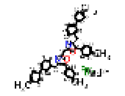 Cc1ccc(-c2cccc(C[C@H]3N=C(CC4=N[C@H](Cc5cccc(-c6ccc(C)cc6)c5)C(c5ccc(C)cc5)O4)OC3c3ccc(C)cc3)c2)cc1.[Br-].[Br-].[Pd+2]